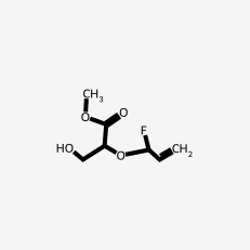 C=CC(F)OC(CO)C(=O)OC